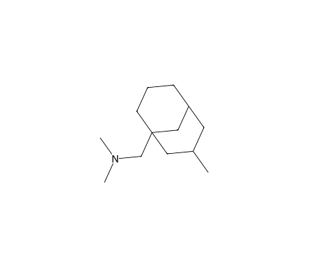 CC1CC2CCCC(CN(C)C)(C1)C2